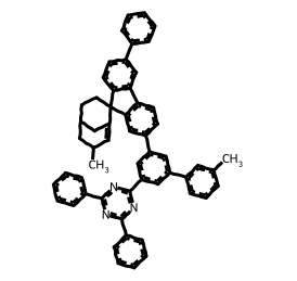 Cc1cccc(-c2cc(-c3ccc4c(c3)C3(CCC5CC3=CC(C)C5)c3ccc(-c5ccccc5)cc3-4)cc(-c3nc(-c4ccccc4)nc(-c4ccccc4)n3)c2)c1